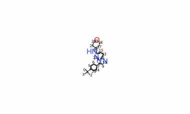 CC(C)(C)c1ccc(-c2cnc3ccc(NC4CCOCC4)nn23)cc1